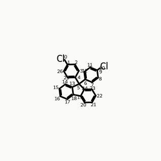 Clc1ccc(C2(c3ccc(Cl)cc3)c3ccccc3-c3ccccc32)cc1